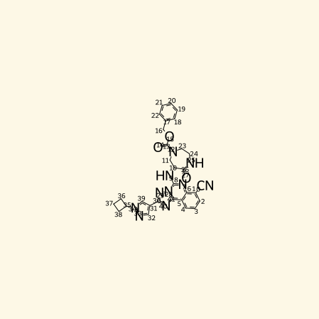 N#Cc1cccc2c1nc(N[C@@H]1CN(C(=O)OCc3ccccc3)CCNC1=O)n1nc(-c3cnn(C4CCC4)c3)nc21